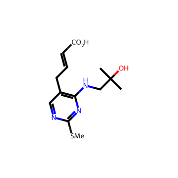 CSc1ncc(C/C=C/C(=O)O)c(NCC(C)(C)O)n1